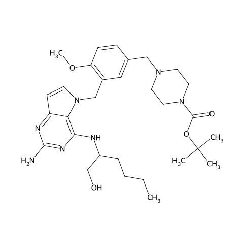 CCCCC(CO)Nc1nc(N)nc2ccn(Cc3cc(CN4CCN(C(=O)OC(C)(C)C)CC4)ccc3OC)c12